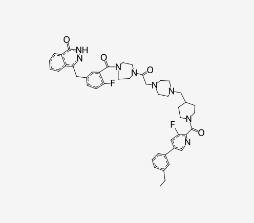 CCc1cccc(-c2cnc(C(=O)N3CCC(CN4CCN(CC(=O)N5CCN(C(=O)c6cc(Cc7n[nH]c(=O)c8ccccc78)ccc6F)CC5)CC4)CC3)c(F)c2)c1